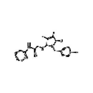 CC1=C(C)C(SCC(=O)Nc2ccccn2)N(Cc2ccc(F)cc2)C1=O